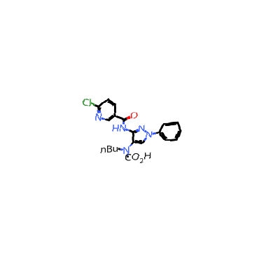 CCCCN(C(=O)O)c1cn(-c2ccccc2)nc1NC(=O)c1ccc(Cl)nc1